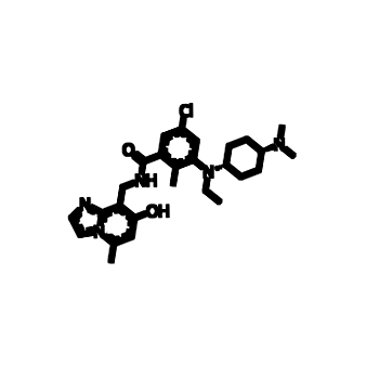 CCN(c1cc(Cl)cc(C(=O)NCc2c(O)cc(C)n3ccnc23)c1C)[C@H]1CC[C@H](N(C)C)CC1